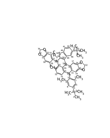 Cc1cc(C(C)(C)C)cc(C)c1N1c2cc3c(cc2B2c4c1cccc4N(c1c(C)cc4c(c1C)OCO4)c1sc4ccc(C(C)(C)C)cc4c12)OCO3